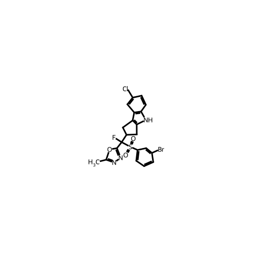 Cc1nnc(C(F)(C2Cc3[nH]c4ccc(Cl)cc4c3C2)S(=O)(=O)c2cccc(Br)c2)o1